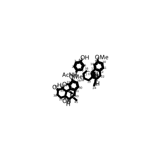 CC(=O)Nc1ccc(O)cc1.COc1ccc2c(c1)[C@]13CCCC[C@@H]1[C@H](C2)N(C)CC3.COc1ccc2c3c1O[C@H]1C(=O)CC[C@@]4(O)[C@@H](C2)N(C)CC[C@]314